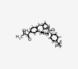 CN(C)C(=O)c1ccc(Cc2cnn(S(=O)(=O)c3ccc(C(F)(F)F)cc3)c2)c(C#N)c1